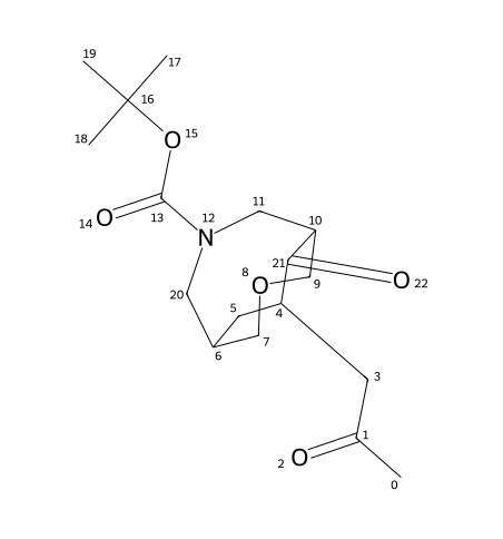 CC(=O)CC1CC2COCC(CN(C(=O)OC(C)(C)C)C2)C1=O